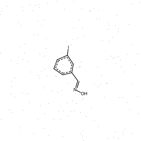 O/N=C/c1cccc(I)c1